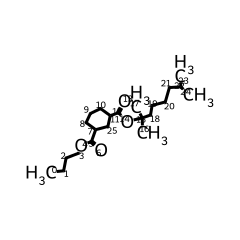 CCCCOC(=O)C1CCCC(C(=O)OC(C)(C)CCCCC(C)C)C1